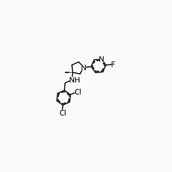 C[C@@]1(NCc2ccc(Cl)cc2Cl)CCN(c2ccc(F)nc2)C1